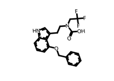 O=C(O)N(CCc1c[nH]c2cccc(OCc3ccccc3)c12)CC(F)(F)F